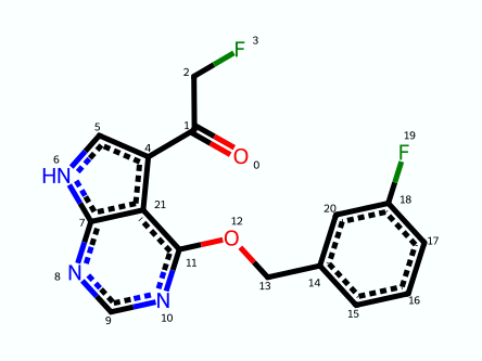 O=C(CF)c1c[nH]c2ncnc(OCc3cccc(F)c3)c12